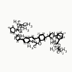 CC1Oc2cc(-c3cnc([C@@H]4C5CCC(CC5)N4C(=O)OC(C)(C)C)[nH]3)ccc2-c2cc3cc(-c4cnc([C@@H]5CCCN5C(=O)OC(C)(C)C)[nH]4)ccc3n21